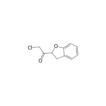 O=C(CCl)C1Cc2ccccc2O1